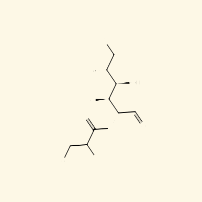 O=C[C@H](OC(=O)C(O)CO)[C@@H](O)[C@H](O)[C@H](O)CO